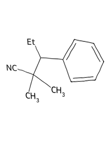 CCC(c1ccccc1)C(C)(C)C#N